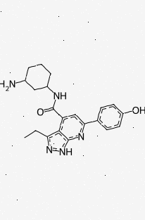 CCc1n[nH]c2nc(-c3ccc(O)cc3)cc(C(=O)NC3CCCC(N)C3)c12